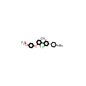 C.CCCC[C@H]1CC[C@H](c2ccc(-c3cccc(Oc4ccc(OC(F)(F)F)cc4)c3F)c(F)c2)CC1